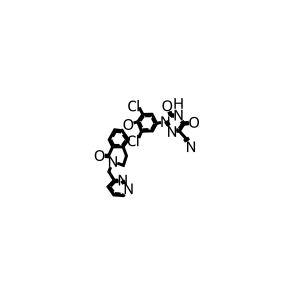 N#Cc1nn(-c2cc(Cl)c(Oc3ccc4c(c3)CCN(Cc3cccnn3)C4=O)c(Cl)c2)c(=O)[nH]c1=O